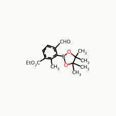 CCOC(=O)c1ccc(C=O)c(B2OC(C)(C)C(C)(C)O2)c1C